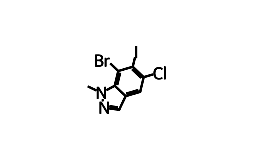 Cn1ncc2cc(Cl)c(I)c(Br)c21